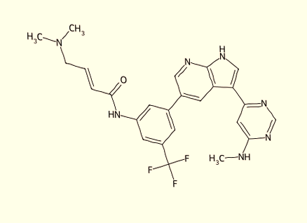 CNc1cc(-c2c[nH]c3ncc(-c4cc(NC(=O)C=CCN(C)C)cc(C(F)(F)F)c4)cc23)ncn1